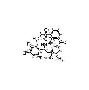 CCS(=O)(=O)c1cccc(C(=O)N2C[C@H](C)C[C@@H]2C(=O)NC(c2cc(F)c(Cl)cc2F)C2COC2)c1